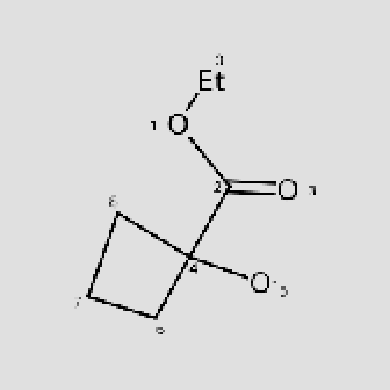 CCOC(=O)C1([O])CCC1